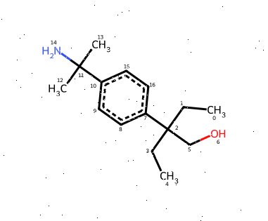 CCC(CC)(CO)c1ccc(C(C)(C)N)cc1